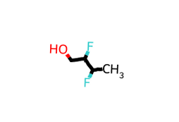 CC(F)[C](F)CO